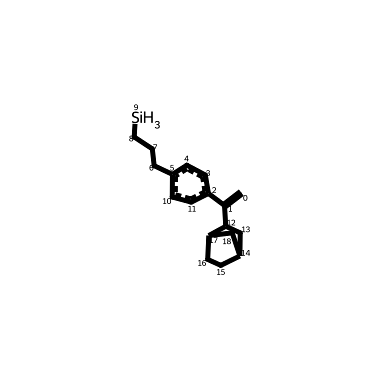 C=C(c1ccc(CCC[SiH3])cc1)C1CC2CCC1C2